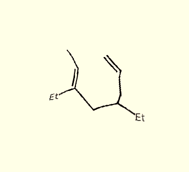 C=CC(CC)CC(=CC)CC